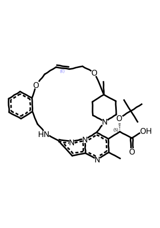 Cc1nc2cc3nn2c(c1[C@H](OC(C)(C)C)C(=O)O)N1CCC(C)(CC1)OC/C=C/COc1ccccc1CN3